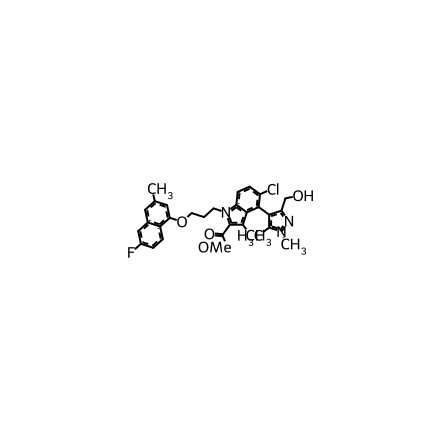 COC(=O)c1c(C)c2c(-c3c(CO)nn(C)c3C)c(Cl)ccc2n1CCCOc1cc(C)cc2cc(F)ccc12